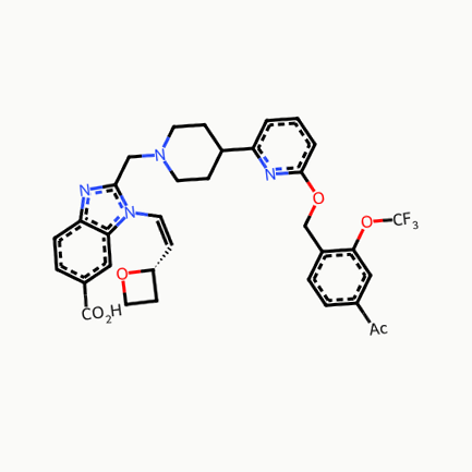 CC(=O)c1ccc(COc2cccc(C3CCN(Cc4nc5ccc(C(=O)O)cc5n4/C=C\[C@@H]4CCO4)CC3)n2)c(OC(F)(F)F)c1